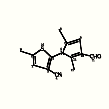 Cc1cc(C#N)c(-n2c(C)cc(C=O)c2C)s1